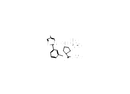 CCS(=O)(=O)N[C@@H]1C[C@@](Cc2cccc(-c3ncc(F)cn3)c2)(C(=O)OC)C[C@H]1O